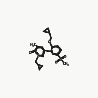 Cc1cc(-c2cc(S(C)(=O)=O)ccc2OCC2CC2)cn(CC2CC2)c1=O